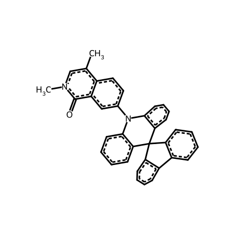 Cc1cn(C)c(=O)c2cc(N3c4ccccc4C4(c5ccccc5-c5ccccc54)c4ccccc43)ccc12